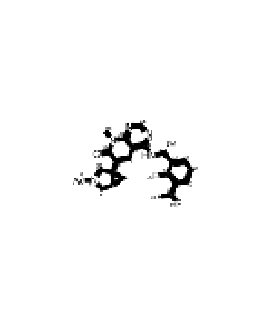 CC(=O)N1CC2CC2(c2cc3c(N[C@H](C)c4cccc(C(F)F)c4F)ncnc3n(C)c2=O)C1